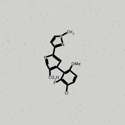 COc1ccc(Cl)c(F)c1-c1cc(-c2ccn(C)n2)ncc1C(=O)O